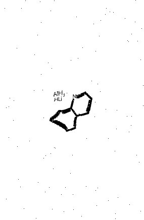 [AlH3].[LiH].c1ccc2ncccc2c1